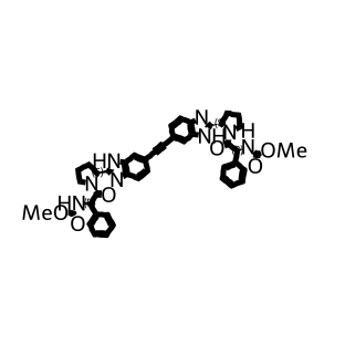 COC(=O)N[C@@H](C(=O)N1CCC[C@H]1c1nc2ccc(C#Cc3ccc4nc([C@@H]5CCCN5C(=O)[C@H](NC(=O)OC)c5ccccc5)[nH]c4c3)cc2[nH]1)c1ccccc1